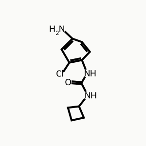 Nc1ccc(NC(=O)NC2CCC2)c(Cl)c1